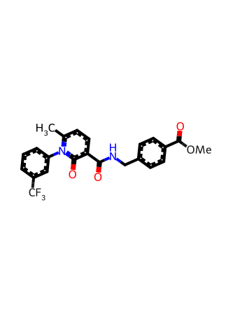 COC(=O)c1ccc(CNC(=O)c2ccc(C)n(-c3cccc(C(F)(F)F)c3)c2=O)cc1